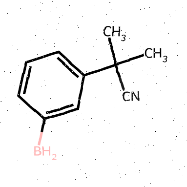 Bc1cccc(C(C)(C)C#N)c1